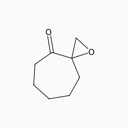 O=C1CCCCCC12CO2